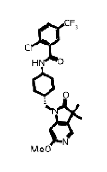 COc1cc2c(cn1)C(C)(C)C(=O)N2C[C@H]1CC[C@H](NC(=O)c2cc(C(F)(F)F)ccc2Cl)CC1